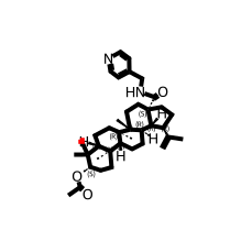 C=C(C)[C@@H]1CC[C@]2(C(=O)NCc3ccncc3)CC[C@]3(C)[C@H](CC[C@@H]4[C@@]5(C)CC[C@H](OC(C)=O)C(C)(C)[C@@H]5CC[C@]43C)[C@@H]12